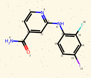 NC(=O)c1ccnc(Nc2ccc(I)cc2F)c1